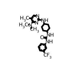 Cc1cnc(NC2CCC(NC(=O)Nc3cccc(C(F)(F)F)c3)CC2)nc1N(C)C